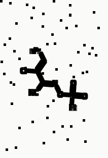 CCCC=C(Cl)C(C#N)=NOS(=O)(=O)CC